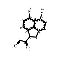 O=CC(=O)C1Cc2ccc(F)c3c(F)ccc1c23